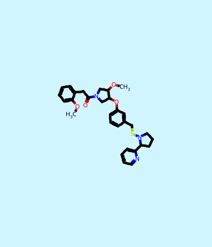 COc1ccccc1CC(=O)N1CC(OC)C(Oc2cccc(CSN3CCCC3c3ccccn3)c2)C1